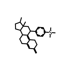 C=C1C=C2CCC3C(=C2CC1)C(c1ccc(S(C)(C)C)cc1)CC1(C)C(C)CCC31